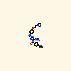 CC(C)(C)c1ccc(C(=O)n2nc(Nc3ccc(OCCN4CCCC4)cc3)nc2N)cc1